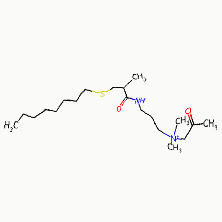 CCCCCCCCSCC(C)C(=O)NCCC[N+](C)(C)CC(C)=O